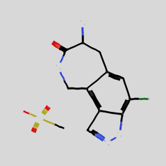 CS(=O)(=O)O.NC1Cc2cc(Cl)c3[nH]ncc3c2CNC1=O